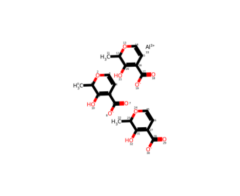 CC1OC=CC(C(=O)[O-])=C1O.CC1OC=CC(C(=O)[O-])=C1O.CC1OC=CC(C(=O)[O-])=C1O.[Al+3]